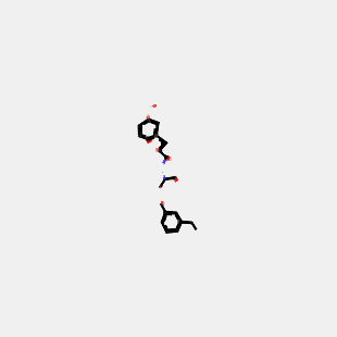 CCc1cccc(COCC(C=O)NC(=O)c2cc3cc(OC)ccc3o2)c1